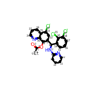 CCC(=O)Oc1c(C(Nc2ccccn2)c2cccc(Cl)c2Cl)cc(Cl)c2cccnc12